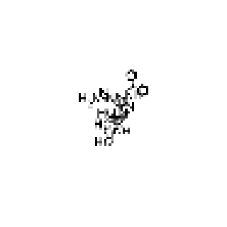 Nc1cn(-c2nc(NCC(c3ccccc3)c3ccccc3)c3ncn([C@@H]4C[C@H](NC(=O)CO)[C@@H](O)[C@H]4O)c3n2)cn1